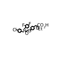 CCO[C@@H](Cc1ccc(OCC(=O)N(Cc2ccc(Cl)cc2)Cc2ccc(F)cc2F)cc1)C(=O)O